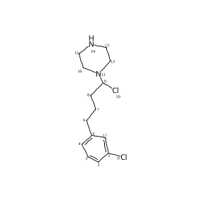 Clc1cccc(CCCC(Cl)N2CCNCC2)c1